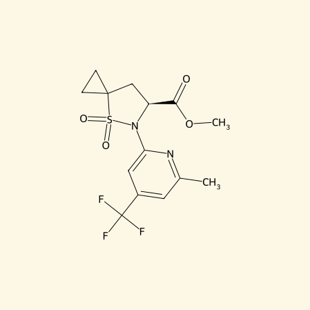 COC(=O)[C@@H]1CC2(CC2)S(=O)(=O)N1c1cc(C(F)(F)F)cc(C)n1